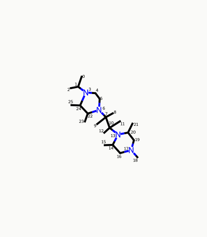 CC(C)N1CCN(C(C)(C)C(C)(C)N2C(C)CN(C)CC2C)C(C)C1C